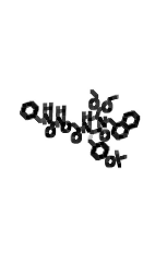 CCOC(OCC)[C@H](C)N(Cc1cccc2ccccc12)C(=O)[C@H](Cc1ccc(OC(C)(C)C)cc1)NC(=O)CONC(=O)NCc1ccccc1